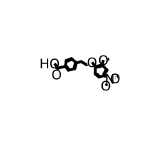 COc1cc([N+](=O)[O-])ccc1OCCc1ccc(C(=O)O)cc1